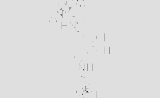 COc1ccc(C(=O)Nc2ccc(C=Cc3ccc(NC(=O)c4ccc(S(C)(=O)=O)cc4)cc3S(=O)(=O)O)c(S(=O)(=O)O)c2)cc1[S+]([O-])N1CCOCC1